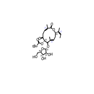 C/C=C(/C)[C@H]1C/C=C(\C)[C@@H](O[C@H]2O[C@H](CO)[C@@H](O)[C@@H]2O)[C@H](OC(=O)C(C)(C)C)C(=O)C/C=C(/C)C(=O)O1